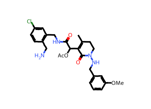 COc1cccc(CNN2CCC(C)=C(C(OC(C)=O)C(=O)NCc3cc(Cl)ccc3CN)C2=O)c1